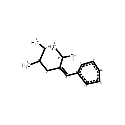 CCC(C)CC(=Cc1ccccc1)C(C)C